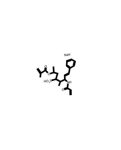 C=CC(=O)NC(C=Cc1ccccc1)C(C)C(CC(C)OC(=O)C(=C)C)S(=O)(=O)O.[NaH]